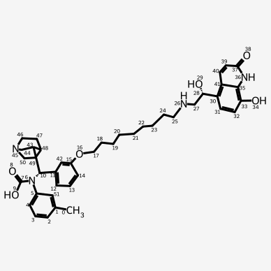 Cc1cccc(N(C(=O)O)[C@@H](c2cccc(OCCCCCCCCCNC[C@H](O)c3ccc(O)c4[nH]c(=O)ccc34)c2)C2CN3CCC2CC3)c1